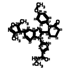 CNC(=O)c1cnc(-n2c(C3CCCC(=O)N3c3ccc(OC)cc3)nc3cc(-c4c(C)noc4C)ccc32)s1